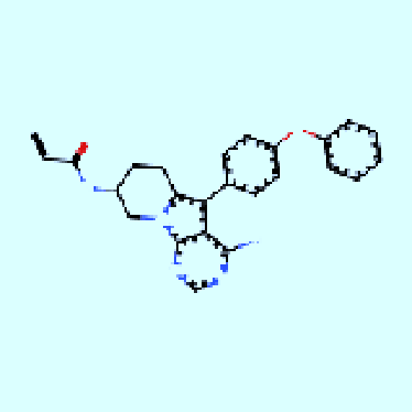 C=CC(=O)N[C@H]1CCc2c(-c3ccc(Oc4ccccc4)cc3)c3c(N)ncnc3n2C1